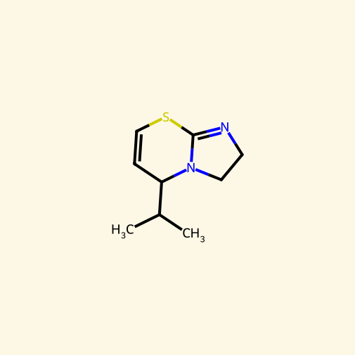 CC(C)C1C=CSC2=NCCN21